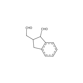 O=CCC1Cc2ccccc2C1C=O